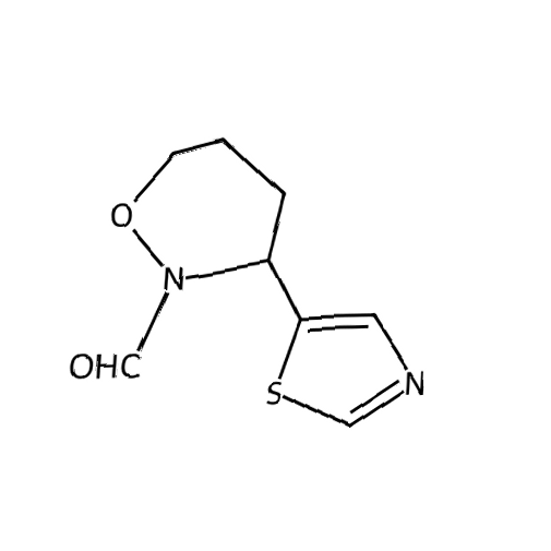 O=CN1OCCCC1c1cncs1